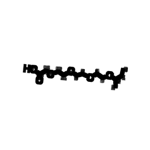 CCC(C)OCCOCCOCCOCC(=O)O